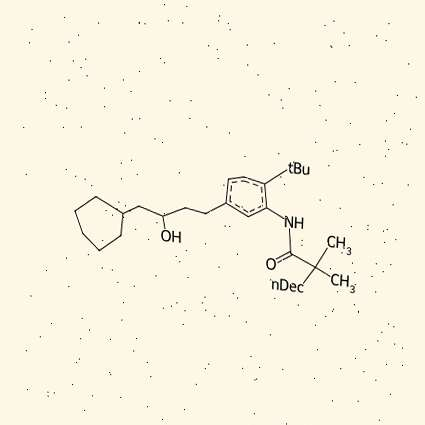 CCCCCCCCCCC(C)(C)C(=O)Nc1cc(CCC(O)CC2CCCCC2)ccc1C(C)(C)C